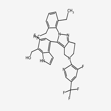 CCc1cccc(CC)c1-n1nc2c(c1-c1cc(F)c(CO)c3[nH]ccc13)CN(c1ncc(C(F)(F)F)cc1F)CC2